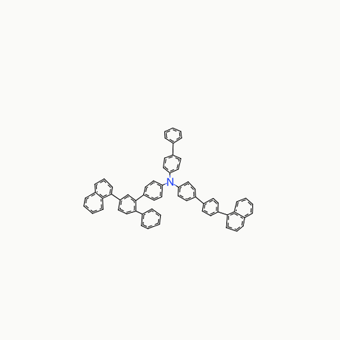 c1ccc(-c2ccc(N(c3ccc(-c4ccc(-c5cccc6ccccc56)cc4)cc3)c3ccc(-c4cc(-c5cccc6ccccc56)ccc4-c4ccccc4)cc3)cc2)cc1